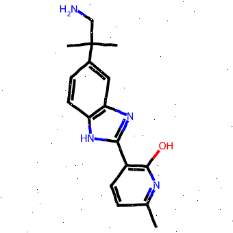 Cc1ccc(-c2nc3cc(C(C)(C)CN)ccc3[nH]2)c(O)n1